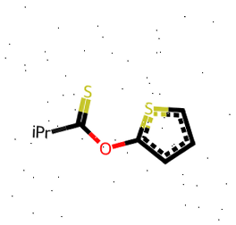 CC(C)C(=S)Oc1cccs1